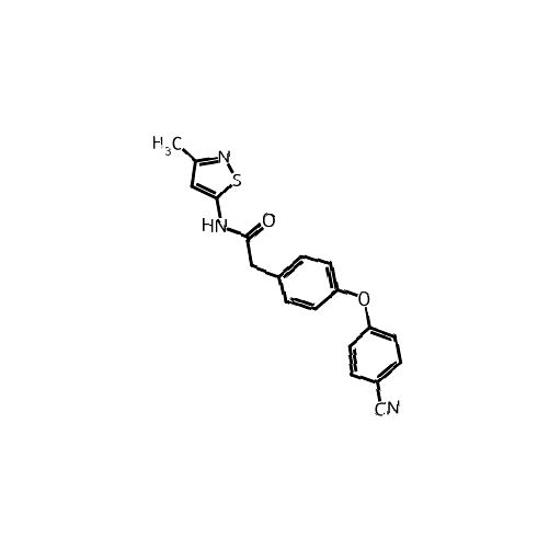 Cc1cc(NC(=O)Cc2ccc(Oc3ccc(C#N)cc3)cc2)sn1